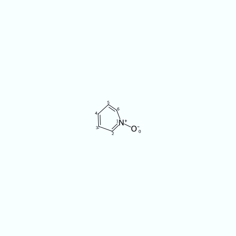 [O-][n+]1c[c]ccc1